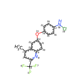 Cc1cc(C(F)(F)F)nc2ccc(Oc3ccc(NCl)cc3)cc12